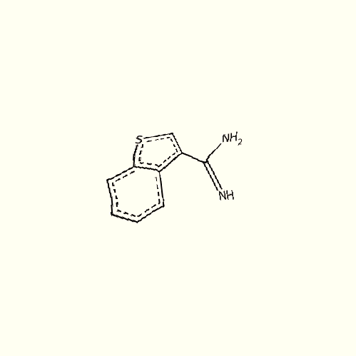 N=C(N)c1csc2ccccc12